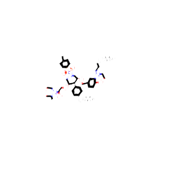 COCCCN1CCOc2ccc(CO[C@H]3CN(S(=O)(=O)c4ccc(C)cc4)C[C@@H](OCC(=O)N4CCOCC4C)[C@@H]3c3ccc(OC)cc3)cc21